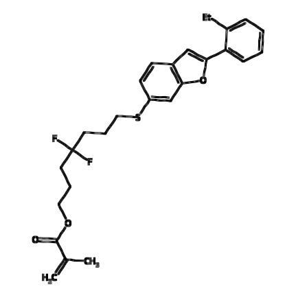 C=C(C)C(=O)OCCCC(F)(F)CCCSc1ccc2cc(-c3ccccc3CC)oc2c1